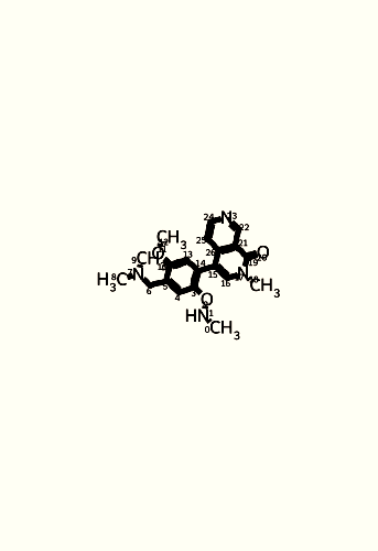 CNOc1cc(CN(C)C)c(OC)cc1-c1cn(C)c(=O)c2cnccc12